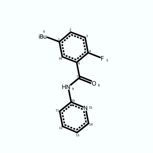 CCC(C)c1ccc(F)c(C(=O)Nc2ccccn2)c1